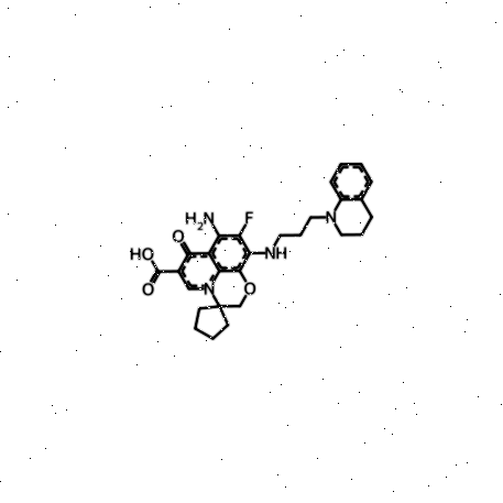 Nc1c(F)c(NCCCN2CCCc3ccccc32)c2c3c1c(=O)c(C(=O)O)cn3C1(CCCC1)CO2